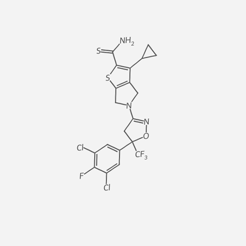 NC(=S)c1sc2c(c1C1CC1)CN(C1=NOC(c3cc(Cl)c(F)c(Cl)c3)(C(F)(F)F)C1)C2